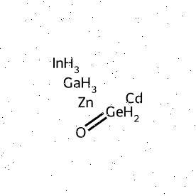 [Cd].[GaH3].[InH3].[O]=[GeH2].[Zn]